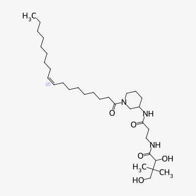 CCCCCCCC/C=C\CCCCCCCC(=O)N1CCCC(NC(=O)CCNC(=O)C(O)C(C)(C)CO)C1